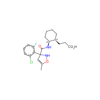 CC1=CC(C(=O)N[C@H]2CCCC[C@H]2CCC(=O)O)(c2c(F)cccc2Cl)NO1